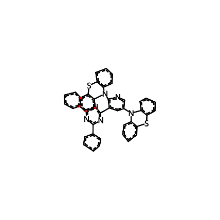 c1ccc(-c2nc(-c3ccccc3)nc(-c3cc(N4c5ccccc5Sc5ccccc54)cnc3N3c4ccccc4Sc4ccccc43)n2)cc1